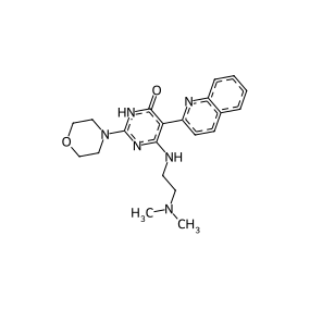 CN(C)CCNc1nc(N2CCOCC2)[nH]c(=O)c1-c1ccc2ccccc2n1